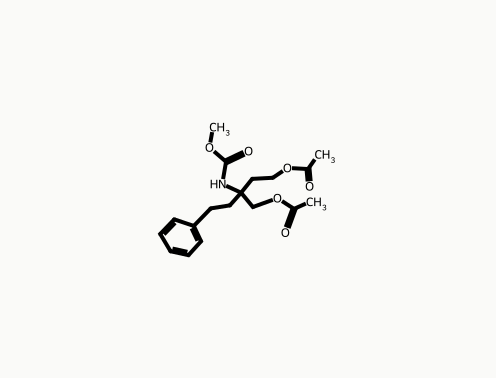 COC(=O)NC(CCOC(C)=O)(CCc1ccccc1)COC(C)=O